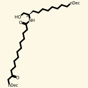 CCCCCCCCCCCCCCCCCC[C@H](CO)NC(=O)CCCCCCCCCCC(=O)CCCCCCCCCCC